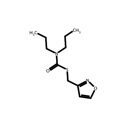 CCCN(CCC)C(=O)SCc1ccon1